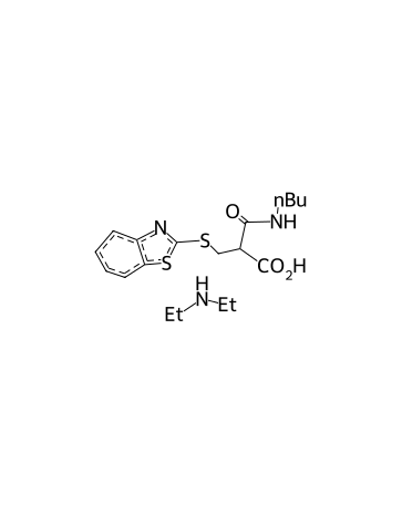 CCCCNC(=O)C(CSc1nc2ccccc2s1)C(=O)O.CCNCC